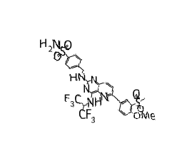 COc1ccc(-c2ccc3nc(NCc4ccc(S(N)(=O)=O)cc4)nc(NC(C(F)(F)F)C(F)(F)F)c3n2)cc1S(C)(=O)=O